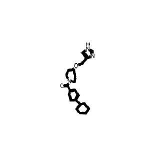 O=C(c1ccc(C2CCCCC2)cc1)N1CCC(OCc2c[nH]cn2)CC1